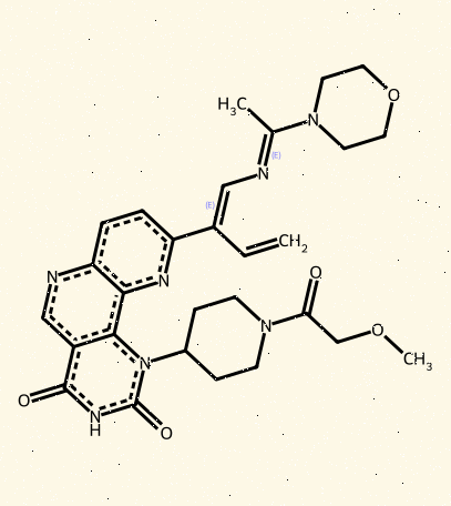 C=C/C(=C\N=C(/C)N1CCOCC1)c1ccc2ncc3c(=O)[nH]c(=O)n(C4CCN(C(=O)COC)CC4)c3c2n1